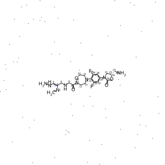 C=N/C(=C\NN)CNCC(=O)N1CCN(c2c(F)cc(N3C[C@H](CN)OC3=O)cc2F)CCO1